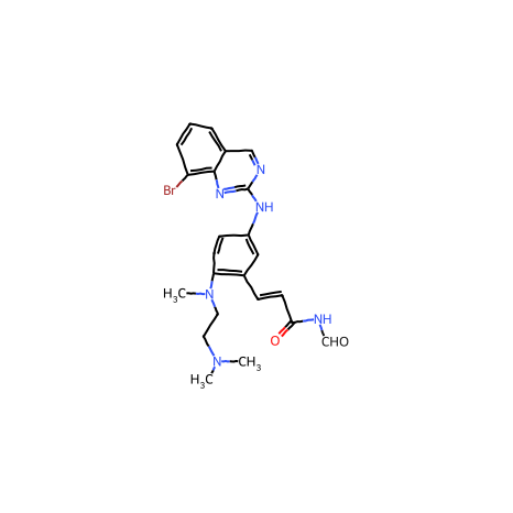 CN(C)CCN(C)c1ccc(Nc2ncc3cccc(Br)c3n2)cc1C=CC(=O)NC=O